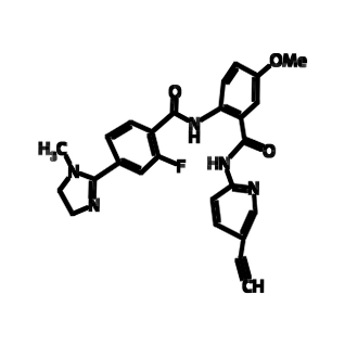 C#Cc1ccc(NC(=O)c2cc(OC)ccc2NC(=O)c2ccc(C3=NCCN3C)cc2F)nc1